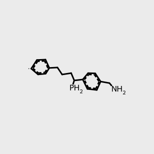 NCc1ccc(C(P)CCCc2cc[c]cc2)cc1